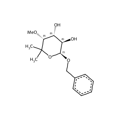 CO[C@@H]1[C@H](O)[C@@H](O)[C@@H](OCc2ccccc2)OC1(C)C